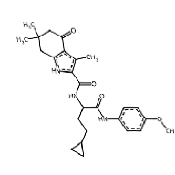 COc1ccc(NC(=O)C(CCC2CC2)NC(=O)c2[nH]c3c(c2C)C(=O)CC(C)(C)C3)cc1